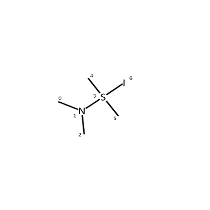 CN(C)S(C)(C)I